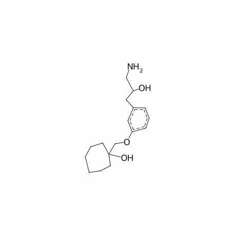 NCC(O)Cc1cccc(OCC2(O)CCCCCC2)c1